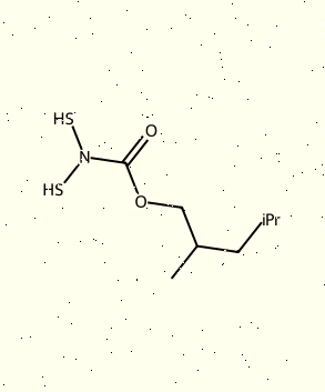 CC(C)CC(C)COC(=O)N(S)S